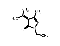 CCN1N=C(C)C(=C(C)C)C1=O